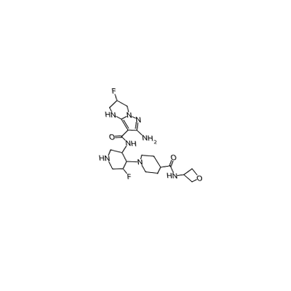 Nc1nn2c(c1C(=O)NC1CNCC(F)C1N1CCC(C(=O)NC3COC3)CC1)NCC(F)C2